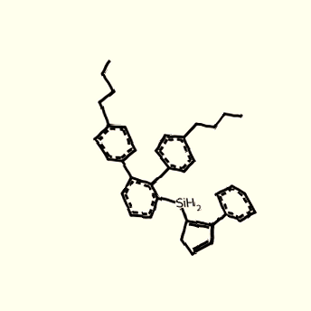 CCCCc1ccc(-c2cccc([SiH2]C3=C(c4ccccc4)C=CC3)c2-c2ccc(CCCC)cc2)cc1